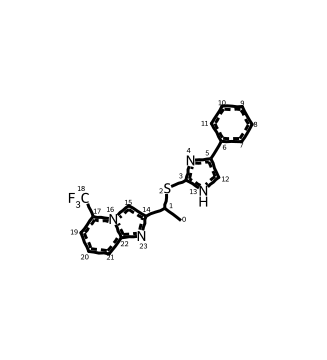 CC(Sc1nc(-c2ccccc2)c[nH]1)c1cn2c(C(F)(F)F)cccc2n1